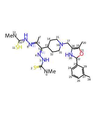 CNC(=S)N/N=C(/C(C)=N/NC(S)NC)C1CCN(CC2=C(C)OC(c3cccc(C)c3)N2)CC1